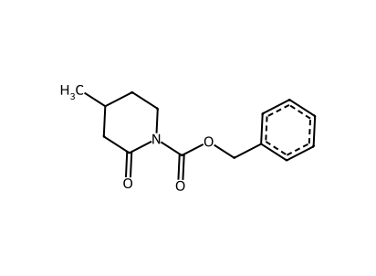 CC1CCN(C(=O)OCc2ccccc2)C(=O)C1